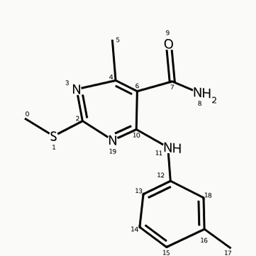 CSc1nc(C)c(C(N)=O)c(Nc2cccc(C)c2)n1